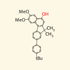 COc1cc2c(O)cc3c(c2cc1OC)-c1ccc(-c2ccc(C(C)(C)C)cc2)cc1C3(C)C